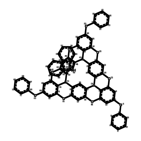 c1ccc(Oc2cc3c4c(c2)Oc2cc5c(cc2B4c2cc4c(cc2O3)Oc2cc(Oc3ccccc3)cc3c2B4c2[nH]c4ccccc4c2O3)B2c3[nH]c4ccccc4c3Oc3cc(Oc4ccccc4)cc(c32)O5)cc1